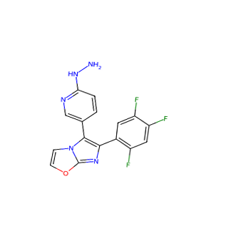 NNc1ccc(-c2c(-c3cc(F)c(F)cc3F)nc3occn23)cn1